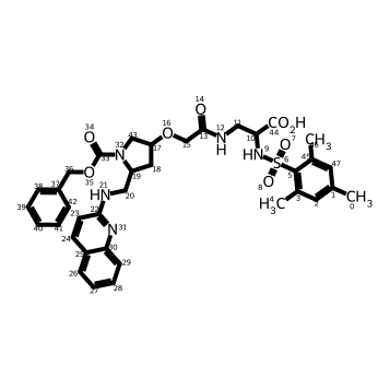 Cc1cc(C)c(S(=O)(=O)NC(CNC(=O)COC2CC(CNc3ccc4ccccc4n3)N(C(=O)OCc3ccccc3)C2)C(=O)O)c(C)c1